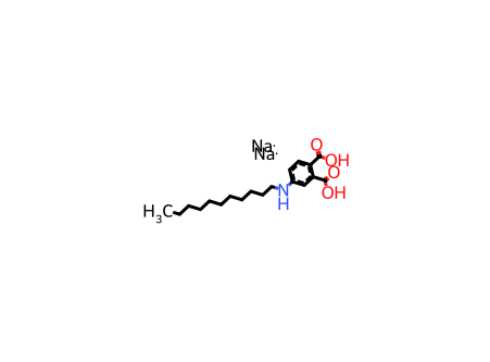 CCCCCCCCCCCNc1ccc(C(=O)O)c(C(=O)O)c1.[Na].[Na]